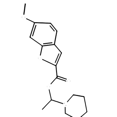 COc1ccc2cc(C(=O)OC(C)N3CCCCC3)oc2c1